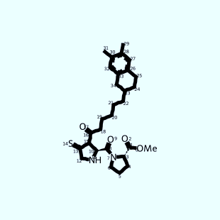 COC(=O)[C@@H]1CCCN1C(=O)[C@H]1NCC(=S)C1C(=O)CCCCCC1CCc2cc(C)c(C)cc2C1